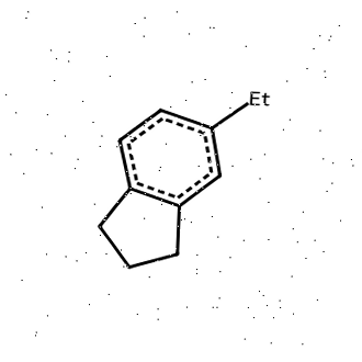 CCc1ccc2c(c1)CCC2